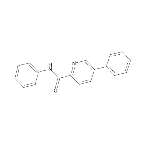 O=C(Nc1ccccc1)c1ccc(-c2ccccc2)cn1